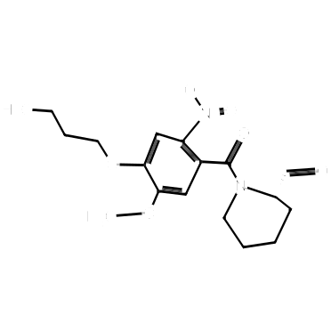 CCCCOc1cc([N+](=O)[O-])c(C(=O)N2CCCC[C@H]2C=O)cc1OC